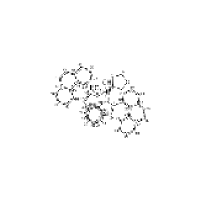 [CH3][Hf]([CH3])(=[C]1CCCC1)([CH]1C(c2cccc3ccc4ccccc4c23)=Cc2ccccc21)[CH]1C(c2cccc3ccc4ccccc4c23)=Cc2ccccc21